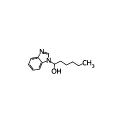 CCCCCC(O)n1cnc2ccccc21